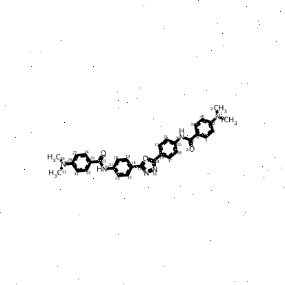 CN(C)c1ccc(C(=O)Nc2ccc(-c3nnc(-c4ccc(NC(=O)c5ccc(N(C)C)cc5)cc4)o3)cc2)cc1